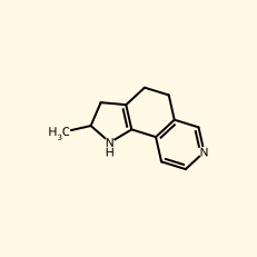 CC1CC2=C(N1)c1ccncc1CC2